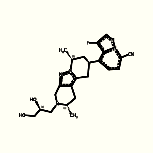 C[C@@H]1CN(c2ccc(C#N)n3ncc(F)c23)Cc2c3c(nn21)CN(C[C@H](O)CO)[C@@H](C)C3